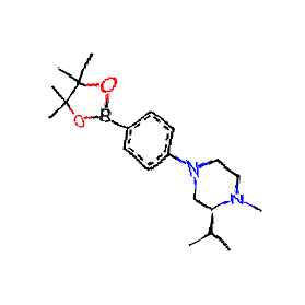 CC(C)[C@H]1CN(c2ccc(B3OC(C)(C)C(C)(C)O3)cc2)CCN1C